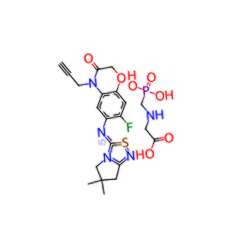 C#CCN1C(=O)COc2cc(F)c(/N=c3\snc4n3CC(C)(C)C4)cc21.O=C(O)CNCP(=O)(O)O